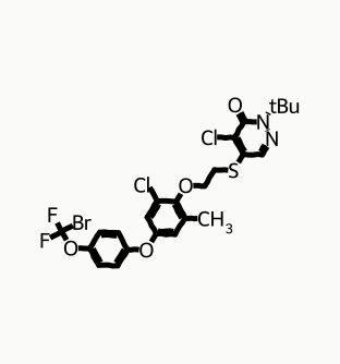 Cc1cc(Oc2ccc(OC(F)(F)Br)cc2)cc(Cl)c1OCCSc1cnn(C(C)(C)C)c(=O)c1Cl